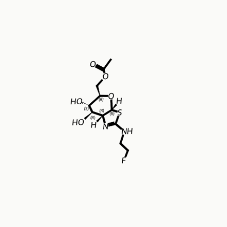 CC(=O)OC[C@H]1O[C@@H]2SC(NCCF)=N[C@@H]2[C@@H](O)[C@@H]1O